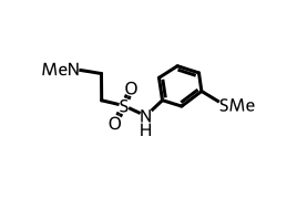 CNCCS(=O)(=O)Nc1cccc(SC)c1